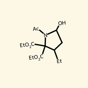 CCOC(=O)C1(C(=O)OCC)C(CC)CC(O)N1C(C)=O